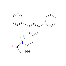 CN1C(=O)CNC1Cc1cc(-c2ccccc2)cc(-c2ccccc2)c1